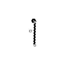 O=CCCCCCCCCCCCCCCC[n+]1ccccc1.[Cl-]